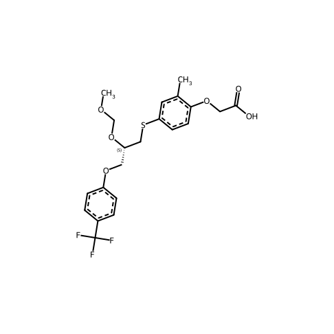 COCO[C@@H](COc1ccc(C(F)(F)F)cc1)CSc1ccc(OCC(=O)O)c(C)c1